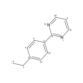 [CH2]Cc1ccc(-c2ncccn2)cc1